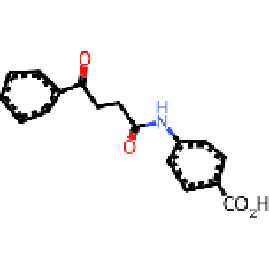 O=C(CCC(=O)c1ccccc1)Nc1ccc(C(=O)O)cc1